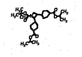 CC(C)OC(=O)C1CCC(C2CN(C(=O)OC(C)(C)C)C2C2CCC(C(=O)OC(C)C)CC2)CC1